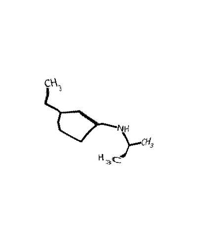 CCC1CCC(NC(C)C)C1